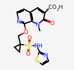 Cn1c(=O)c(C(=O)O)cc2ccnc(OCC3(S(=O)(=O)Nc4nccs4)CC3)c21